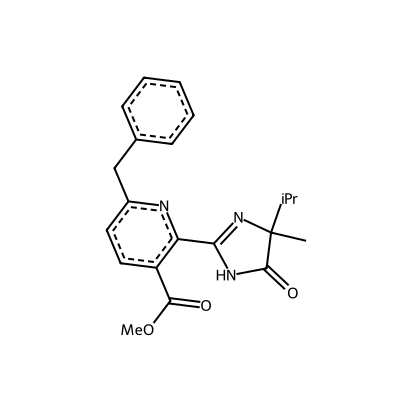 COC(=O)c1ccc(Cc2ccccc2)nc1C1=NC(C)(C(C)C)C(=O)N1